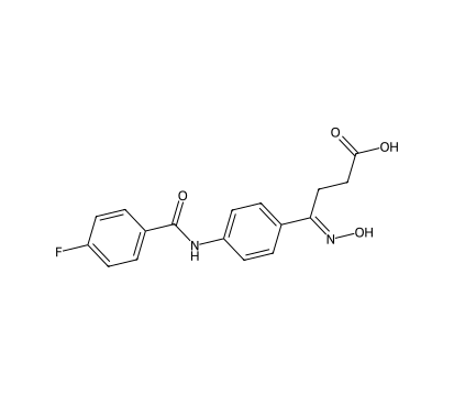 O=C(O)CC/C(=N\O)c1ccc(NC(=O)c2ccc(F)cc2)cc1